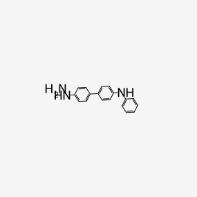 NNc1ccc(-c2ccc(Nc3ccccc3)cc2)cc1